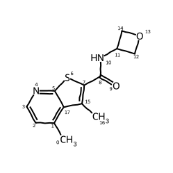 Cc1ccnc2sc(C(=O)NC3COC3)c(C)c12